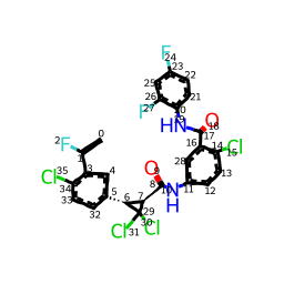 C=C(F)c1cc([C@@H]2[C@@H](C(=O)Nc3ccc(Cl)c(C(=O)Nc4ccc(F)cc4F)c3)C2(Cl)Cl)ccc1Cl